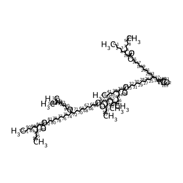 CCCCCC(CCCCC)CC(=O)OCCCCCCCCCC(CCCCCCCCCOC(=O)CC(CCCCC)CCCC(C)C(CC)CCC(CCCCC)CC(=O)OCCCCCCCCCC(CCCCCCCCCOC(=O)CC(CCCCC)CCCCC)OCCCCN(C)CC)CCN1CCOCC1